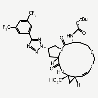 CC(C)(C)OC(=O)N[C@@H]1CCCCC/C=C\[C@@H]2C[C@]2(C(=O)O)NC(=O)[C@@H]2C[C@H](n3nnc(-c4cc(C(F)(F)F)cc(C(F)(F)F)c4)n3)CN2C1=O